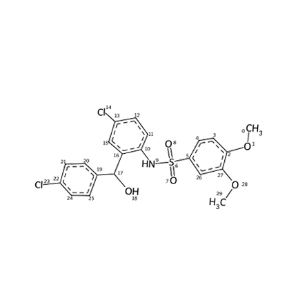 COc1ccc(S(=O)(=O)Nc2ccc(Cl)cc2C(O)c2ccc(Cl)cc2)cc1OC